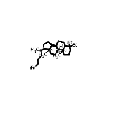 CCC1(CC)CCC[C@@]2(C)C1CCC1=C3CC[C@H]([C@H](C)CCCC(C)C)[C@@]3(C)CC[C@@H]12